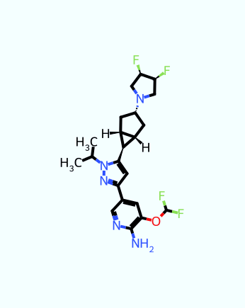 CC(C)n1nc(-c2cnc(N)c(OC(F)F)c2)cc1[C@H]1[C@@H]2C[C@H](N3C[C@@H](F)[C@@H](F)C3)C[C@@H]21